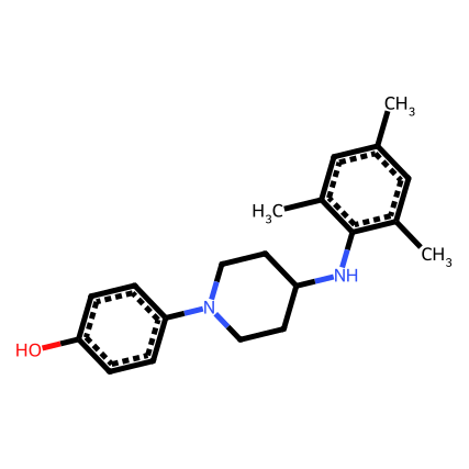 Cc1cc(C)c(NC2CCN(c3ccc(O)cc3)CC2)c(C)c1